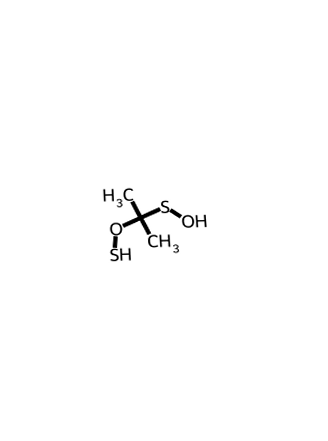 CC(C)(OS)SO